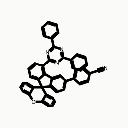 N#Cc1ccc(-c2ccc3c(c2)-c2c(-c4nc(-c5ccccc5)nc(-c5ccccc5)n4)cccc2C32c3ccccc3Oc3ccccc32)cc1